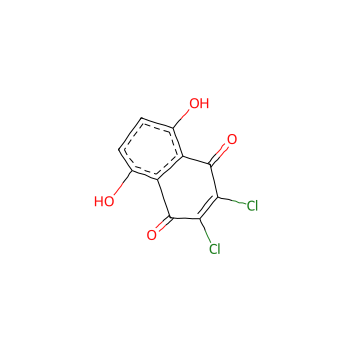 O=C1C(Cl)=C(Cl)C(=O)c2c(O)ccc(O)c21